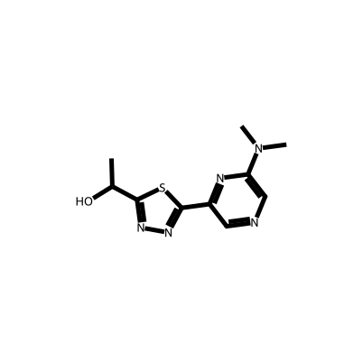 CC(O)c1nnc(-c2cncc(N(C)C)n2)s1